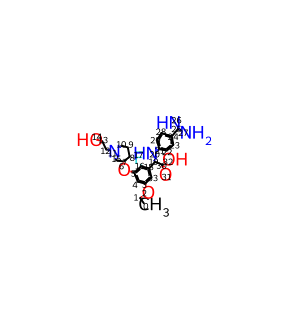 CCOc1cc(OC2CCCN(CCO)C2)c(F)c(C(Nc2ccc(C(=N)N)cc2)C(=O)O)c1